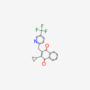 O=C1C(Cc2ccc(C(F)(F)F)cn2)=C(C2CC2)C(=O)c2ccccc21